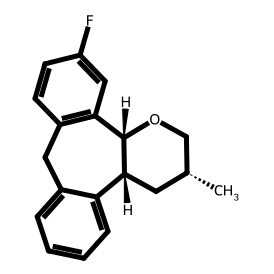 C[C@H]1CO[C@H]2c3cc(F)ccc3Cc3ccccc3[C@H]2C1